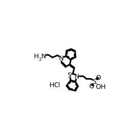 Cl.NCCCN1C=CC(=CC2Sc3ccccc3N2CCCS(=O)(=O)O)c2ccccc21